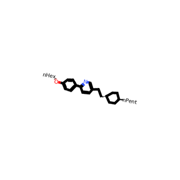 CCCCCCOc1ccc(-c2ccc(CC[C@H]3CC[C@H](CCCCC)CC3)cn2)cc1